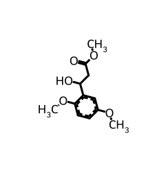 COC(=O)CC(O)c1cc(OC)ccc1OC